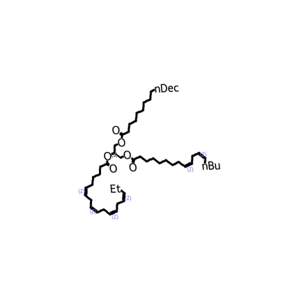 CC/C=C\C/C=C\C/C=C\C/C=C\CCCCC(=O)O[C@H](COC(=O)CCCCCCC/C=C\C/C=C\CCCC)COC(=O)CCCCCCCCCCCCCCCCCC